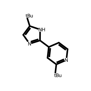 CC(C)(C)c1cc(-c2ncc(C(C)(C)C)[nH]2)ccn1